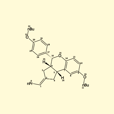 CCCC=C1C[C@H]2[C@@H](C1)c1cc(OCCCC)ccc1O[C@H]2c1ccc(OCCCC)cc1